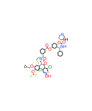 O=C(N[C@@H](c1ccccc1)c1cccc(OC(=O)c2cccc(CN3CCS[C@]3(C(=O)[O-])[C@@H](Cc3c(Cl)c[n+](O)cc3Cl)c3ccc(OC(F)F)c(OCC4CC4)c3)c2)c1)O[C@H]1CN2CCC1CC2